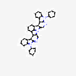 c1ccc(-n2c3ccccc3c3c4c5cccc6c7c8c9ccccc9n(-c9ccccc9)c8ncc7n(c4cnc32)c56)cc1